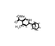 COC(=O)C1=CNC(C2CN3CCC2CC3)C=C1C